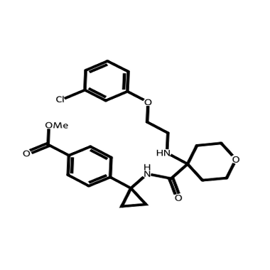 COC(=O)c1ccc(C2(NC(=O)C3(NCCOc4cccc(Cl)c4)CCOCC3)CC2)cc1